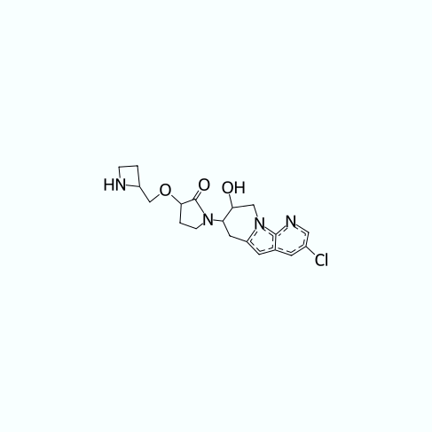 O=C1C(OCC2CCN2)CCN1C1Cc2cc3cc(Cl)cnc3n2CC1O